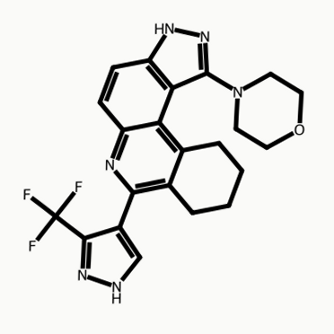 FC(F)(F)c1n[nH]cc1-c1nc2ccc3[nH]nc(N4CCOCC4)c3c2c2c1CCCC2